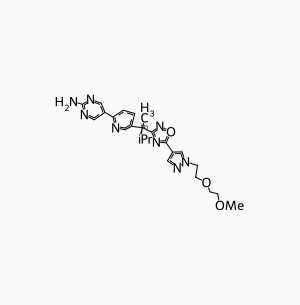 COCCOCCn1cc(-c2nc([C@@](C)(c3ccc(-c4cnc(N)nc4)nc3)C(C)C)no2)cn1